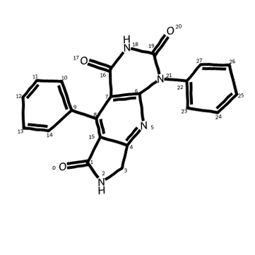 O=C1NCc2nc3c(c(-c4ccccc4)c21)c(=O)[nH]c(=O)n3-c1ccccc1